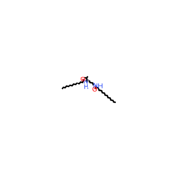 CCCCCCCCCCCCCC(=O)NCCCC[C@H](NC(=O)CCCCCCCCCCCCC)C(C)C